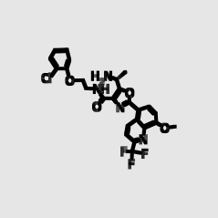 COc1ccc(-c2nc(C(=O)NCCOc3ccccc3Cl)c([C@H](C)N)o2)c2ccc(C(F)(F)F)nc12